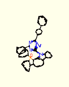 O=P1(c2ccccc2)c2ccccc2-c2ccc3c4ccccc4n(-c4nc(-c5ccccc5)nc(-c5ccc(-c6ccccc6)cc5)n4)c3c21